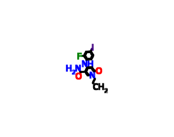 C=CCn1cc(C(N)=O)c(Nc2ccc(I)cc2F)cc1=O